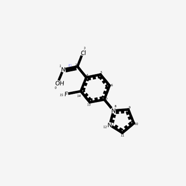 O/N=C(/Cl)c1ccc(-n2cccn2)cc1F